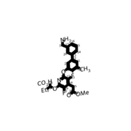 CCC(Oc1nc(Oc2cc(C)cc(-c3cccc(CN)c3)c2)c(F)c(CC(=O)OC)c1F)C(=O)O